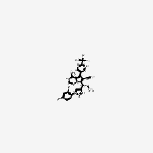 CC[C@H](c1cn(-c2ccc(F)cc2F)nn1)c1c(C#N)c(-c2cnc(C(F)(F)F)nc2)c2c(N)ncnn12